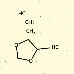 C.C.CC1COCO1.Cl.Cl